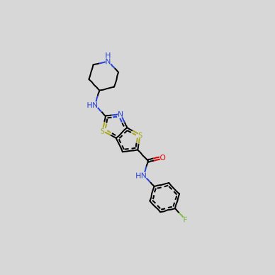 O=C(Nc1ccc(F)cc1)c1cc2sc(NC3CCNCC3)nc2s1